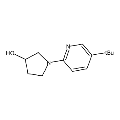 CC(C)(C)c1ccc(N2CCC(O)C2)nc1